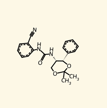 CC1(C)OC[C@H](NC(=O)Nc2ccccc2C#N)[C@H](c2ccccc2)O1